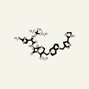 CC(C)(O/N=C(\C(=O)N[C@@H]1C(=O)N2C(C(=O)O)=C(C[n+]3ccc4c(ccn4Cc4cc(C5=NCCN5)no4)c3)CS[C@H]12)c1csc(N)n1)C(=O)O